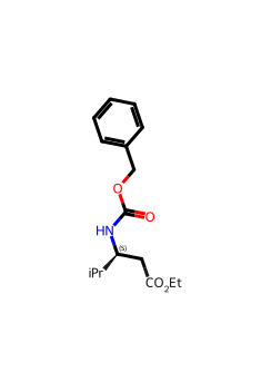 CCOC(=O)C[C@H](NC(=O)OCc1ccccc1)C(C)C